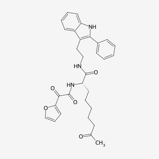 CC(=O)CCCCC[C@H](NC(=O)C(=O)c1ccco1)C(=O)NCCc1c(-c2ccccc2)[nH]c2ccccc12